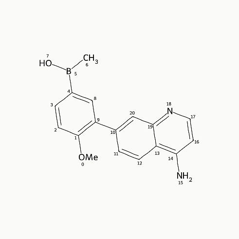 COc1ccc(B(C)O)cc1-c1ccc2c(N)ccnc2c1